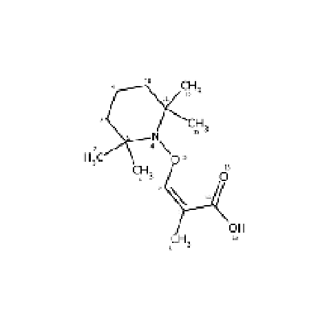 CC(=CON1C(C)(C)CCCC1(C)C)C(=O)O